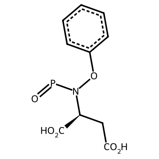 O=PN(Oc1ccccc1)[C@@H](CC(=O)O)C(=O)O